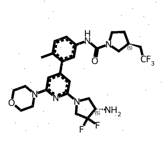 Cc1ccc(NC(=O)N2CC[C@@H](CC(F)(F)F)C2)cc1-c1cc(N2CCOCC2)nc(N2C[C@H](N)C(F)(F)C2)c1